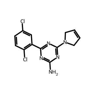 Nc1nc(-c2cc(Cl)ccc2Cl)nc(N2CC=CC2)n1